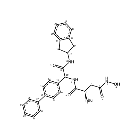 CCCC[C@H](CC(=O)NO)C(=O)NC(C(=O)NC1Cc2ccccc2C1)c1ccc(-c2ccccc2)cc1